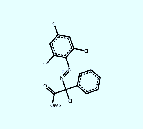 COC(=O)C(Cl)(/N=N/c1c(Cl)cc(Cl)cc1Cl)c1ccccc1